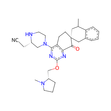 CC1C[C@]2(CCc3c(nc(OC[C@@H]4CCCN4C)nc3N3CCN[C@@H](CC#N)C3)C2=O)Cc2ccccc21